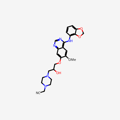 COc1cc2c(Nc3cccc4c3OCO4)ncnc2cc1OCC(O)CN1CCN(CC#N)CC1